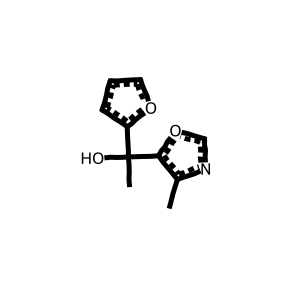 Cc1ncoc1C(C)(O)c1ccco1